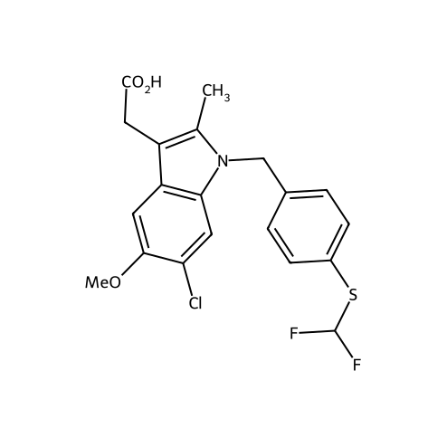 COc1cc2c(CC(=O)O)c(C)n(Cc3ccc(SC(F)F)cc3)c2cc1Cl